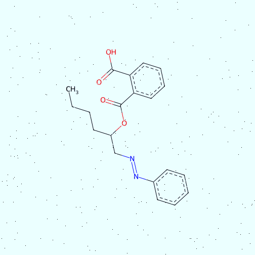 CCCCC(CN=Nc1ccccc1)OC(=O)c1ccccc1C(=O)O